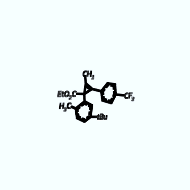 CCOC(=O)C1(c2cc(C(C)(C)C)ccc2C)C(C)=C1c1ccc(C(F)(F)F)cc1